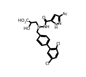 CC(=O)c1cc(C(=O)NN(Cc2ccc(-c3cc(Cl)ccc3Cl)cc2)CC(O)C(=O)O)[nH]n1